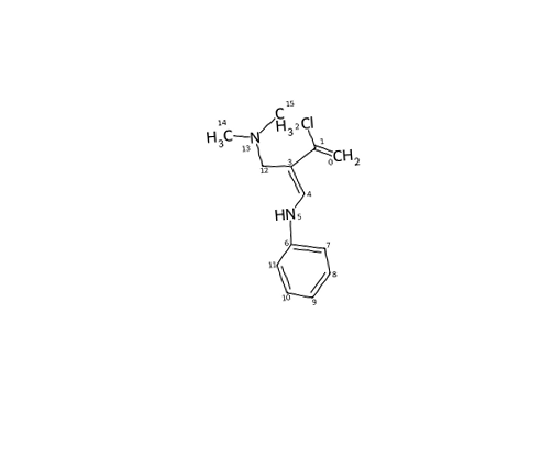 C=C(Cl)/C(=C/Nc1ccccc1)CN(C)C